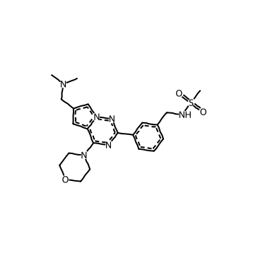 CN(C)Cc1cc2c(N3CCOCC3)nc(-c3cccc(CNS(C)(=O)=O)c3)nn2c1